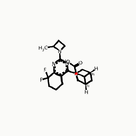 CC1CCN1c1nc(N2C[C@H]3C[C@@H](C2)C3CC(=O)O)c2c(n1)C(F)(F)CCC2